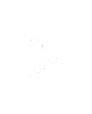 CC(C)(C)c1ccc2oc(-c3cc(Br)ccc3OC/C=C/c3ccccc3)nc2c1